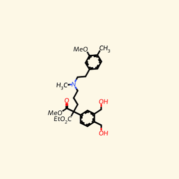 CCOC(=O)C(CCCN(C)CCc1ccc(C)c(OC)c1)(C(=O)OC)c1ccc(CO)c(CO)c1